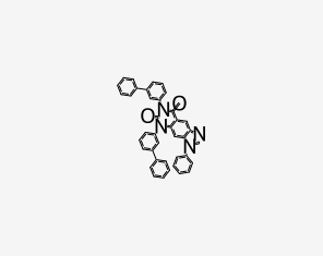 O=c1c2cc3ncn(-c4ccccc4)c3cc2n(-c2cccc(-c3ccccc3)c2)c(=O)n1-c1cccc(-c2ccccc2)c1